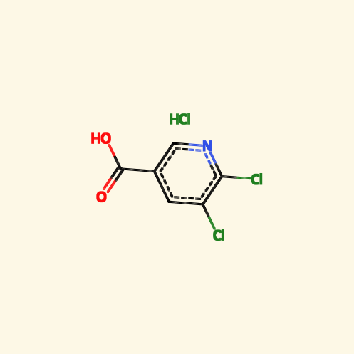 Cl.O=C(O)c1cnc(Cl)c(Cl)c1